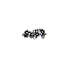 CCP(=O)(/C=C/c1cc(Cl)c(C(=O)N[C@@H](Cc2cccc(S(C)(=O)=O)c2)C(=O)O)c(Cl)c1)c1cccc(O)c1